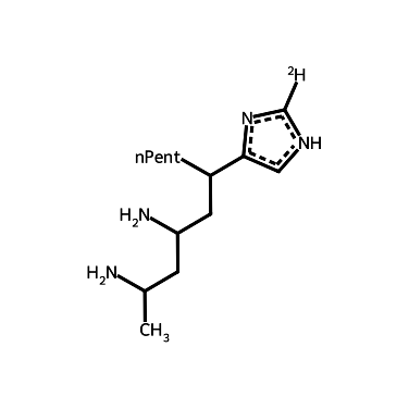 [2H]c1nc(C(CCCCC)CC(N)CC(C)N)c[nH]1